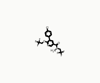 NN(CC(F)(F)F)C(=O)c1cnc(OCC(F)(F)F)c(-c2ccc(Cl)cc2)c1